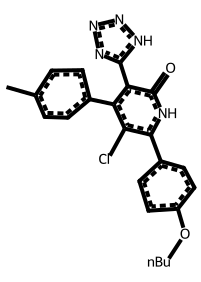 CCCCOc1ccc(-c2[nH]c(=O)c(-c3nnn[nH]3)c(-c3ccc(C)cc3)c2Cl)cc1